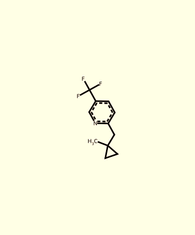 CC1(Cc2ccc(C(F)(F)F)cn2)CC1